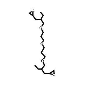 CCC(COCCCOCCCOCC(CC)CC1CO1)CC1CO1